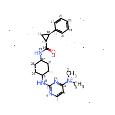 CN(C)c1ccnc(NC2CCC(NC(=O)C3C[C@H]3c3ccccc3)CC2)n1